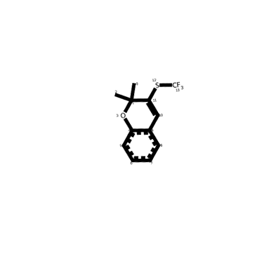 CC1(C)Oc2ccccc2C=C1SC(F)(F)F